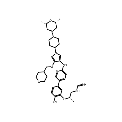 C[C@@H]1CN(C2CCC(n3cc(Nc4ncc(-c5ccc(C#N)c(O[C@@H](C)CNC=N)c5)cn4)c(OCC4CCOCC4)n3)CC2)C[C@H](C)O1